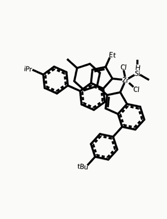 CCC1=Cc2c(-c3ccc(C(C)C)cc3)cccc2[CH]1[Zr]([Cl])([Cl])([CH]1C(C2CCC(C)CC2)=Cc2c(-c3ccc(C(C)(C)C)cc3)cccc21)[SiH](C)C